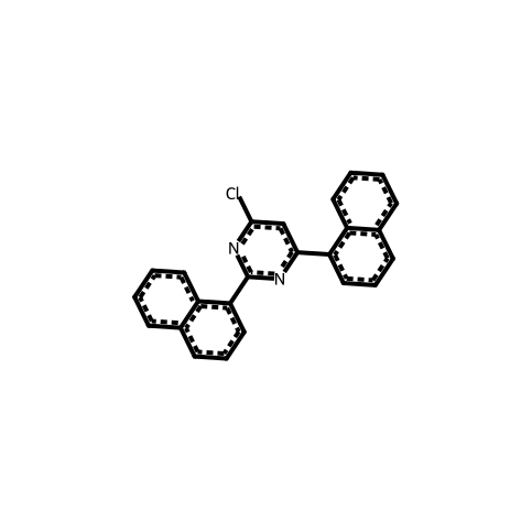 Clc1cc(-c2cccc3ccccc23)nc(-c2cccc3ccccc23)n1